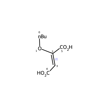 CCCCO/C(=C\C(=O)O)C(=O)O